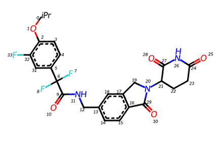 CC(C)Oc1ccc(C(F)(F)C(=O)NCc2ccc3c(c2)CN(C2CCC(=O)NC2=O)C3=O)cc1F